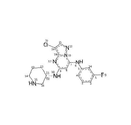 Fc1cccc(Nc2cc(N[C@H]3CCCNC3)nc3c(Cl)cnn23)c1